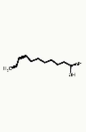 C=C/C=C\CCCCCCC(O)CCC